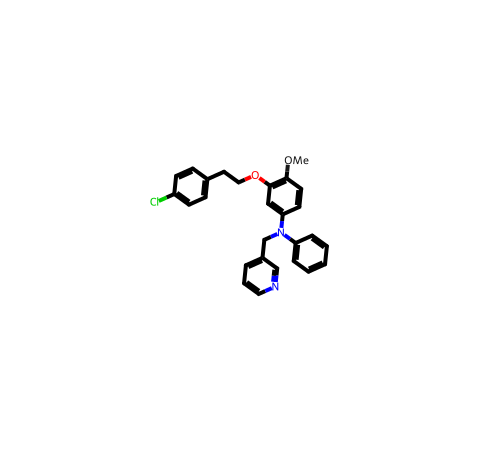 COc1ccc(N(Cc2cccnc2)c2ccccc2)cc1OCCc1ccc(Cl)cc1